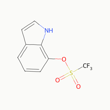 O=S(=O)(Oc1cccc2cc[nH]c12)C(F)(F)F